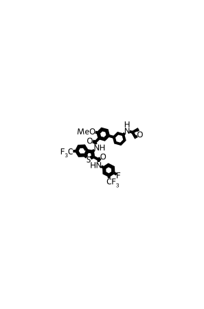 COc1ccc(C2CCCC(NC3COC3)C2)cc1C(=O)Nc1c(C(=O)Nc2ccc(F)c(C(F)(F)F)c2)sc2cc(C(F)(F)F)ccc12